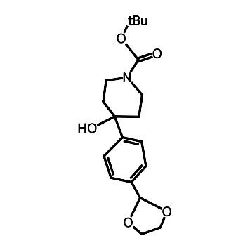 CC(C)(C)OC(=O)N1CCC(O)(c2ccc(C3OCCO3)cc2)CC1